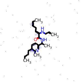 C=CCN/C(=C\C/C=C\C)C(=O)NC(C)C(/C=C\C(CC)CCCC)=C/N